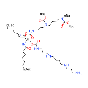 CCCCCCCCCCCCC/C=C/[C@@H](OC(=O)NCCCN(CCCCN(CCCC)C(=O)OC(C)(C)C)C(=O)OC(C)(C)C)[C@H](COC(=O)NCCCNCCCCNCCCN)NC(=O)CCCCCCCCCCCCCCC